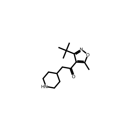 Cc1onc(C(C)(C)C)c1C(=O)CC1CCNCC1